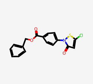 O=C(OCc1ccccc1)c1ccc(-n2sc(Cl)cc2=O)cc1